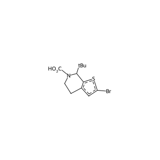 CC(C)(C)C1c2sc(Br)cc2CCN1C(=O)O